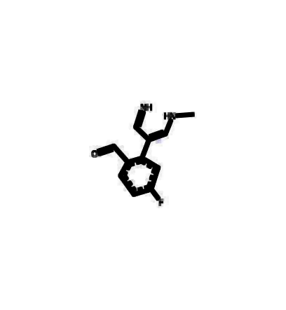 CN/C=C(\C=N)c1cc(F)ccc1C=O